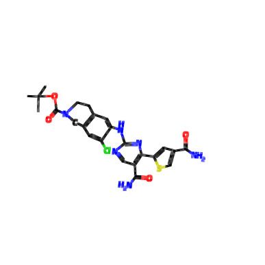 CC(C)(C)OC(=O)N1CCc2cc(Nc3ncc(C(N)=O)c(-c4cc(C(N)=O)cs4)n3)c(Cl)cc2C1